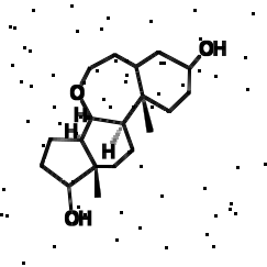 C[C@]12CCC(O)CC1CCO[C@@H]1[C@@H]2CC[C@]2(C)C(O)CC[C@@H]12